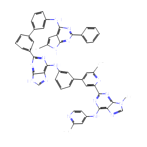 Cc1cc2c(Nc3cccc(-c4cccc(-c5nc(Nc6cccc(-c7cc(-c8nc(Nc9ccnc(C(F)(F)F)c9)c9ncn(C(C)C)c9n8)nc(C(F)(F)F)c7)c6)c6nc[nH]c6n5)c4)c3)nc(-c3ccccc3)nc2[nH]1